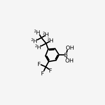 [2H]C([2H])([2H])C([2H])([2H])c1cc(B(O)O)cc(C(F)(F)F)c1